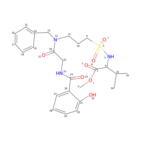 COC(=O)C(NS(=O)(=O)CCCN(Cc1ccccc1)C(=O)CNC(=O)c1ccccc1O)C(C)C